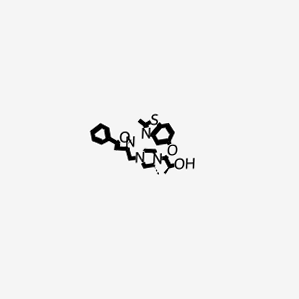 Cc1nc2cc(OC([C@H](C)O)N3CCN(Cc4cc(-c5ccccc5)on4)C[C@H]3C)ccc2s1